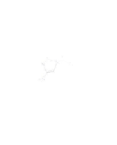 Nc1cn(SF)cn1